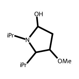 COC1CC(O)N(C(C)C)C1C(C)C